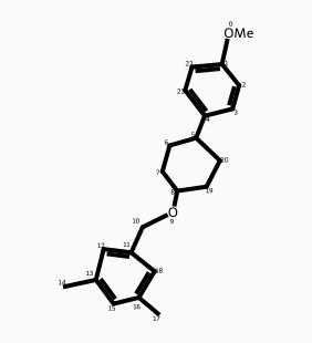 COc1ccc(C2CCC(OCc3cc(C)cc(C)c3)CC2)cc1